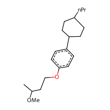 CCCC1CCC(c2ccc(OCCC(C)OC)cc2)CC1